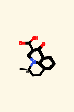 C[C@H]1CCc2cccc3c(=O)c(C(=O)O)cn1c23